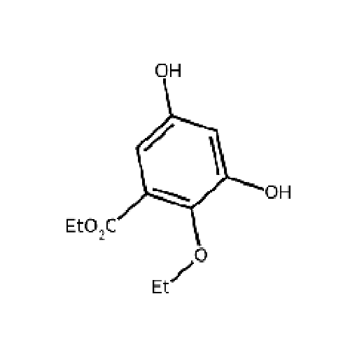 CCOC(=O)c1cc(O)cc(O)c1OCC